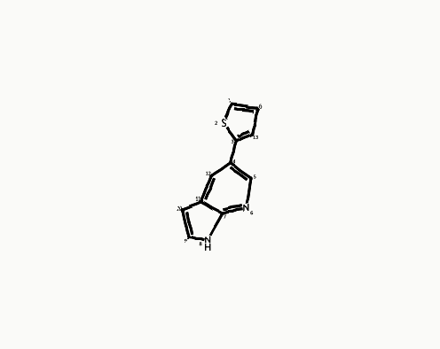 c1csc(-c2cnc3[nH]ccc3c2)c1